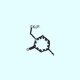 CCOC(=O)Cn1ccc(I)cc1=O